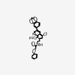 O=C(COc1ccccc1)NCCc1cc(Cl)c2cc(-c3ccc4c(c3)OCO4)cnc2c1O